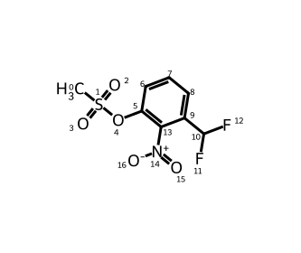 CS(=O)(=O)Oc1cccc(C(F)F)c1[N+](=O)[O-]